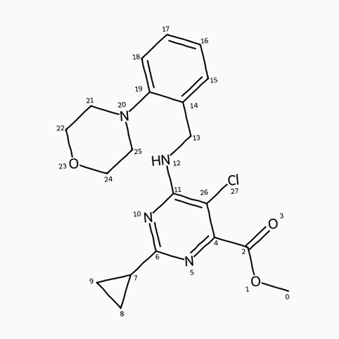 COC(=O)c1nc(C2CC2)nc(NCc2ccccc2N2CCOCC2)c1Cl